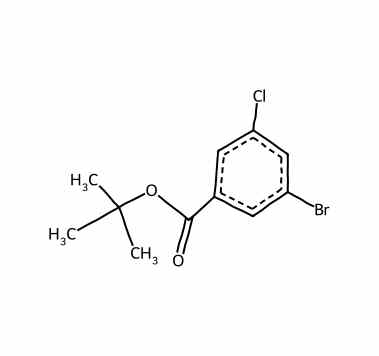 CC(C)(C)OC(=O)c1cc(Cl)cc(Br)c1